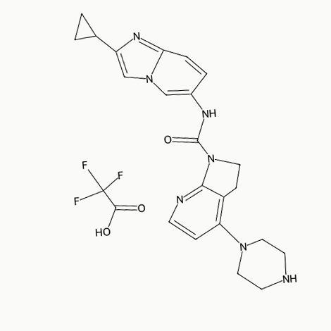 O=C(Nc1ccc2nc(C3CC3)cn2c1)N1CCc2c(N3CCNCC3)ccnc21.O=C(O)C(F)(F)F